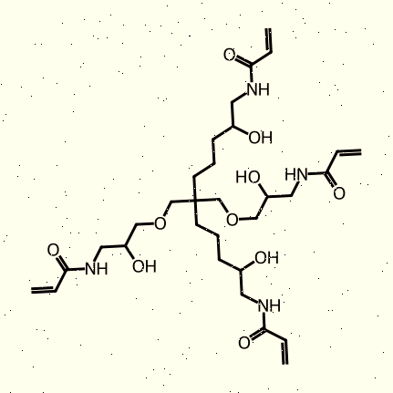 C=CC(=O)NCC(O)CCCC(CCCC(O)CNC(=O)C=C)(COCC(O)CNC(=O)C=C)COCC(O)CNC(=O)C=C